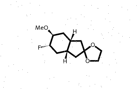 CO[C@H]1C[C@@H]2CC3(C[C@@H]2C[C@@H]1F)OCCO3